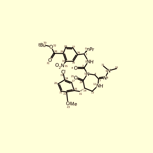 CCC[C@@H](NC(=O)N1C/C(=N\N(C)C)NC[C@H](Cc2cc(Cl)ccc2OC)C1=O)c1ccc(C(=O)OC(C)(C)C)c([N+](=O)[O-])c1